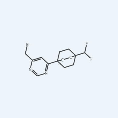 FC(F)C12CCC(c3cc(CBr)ncn3)(CC1)CC2